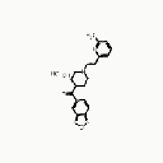 Cc1cccc(CCN2CCC(C(=O)c3ccc4nonc4c3)CC2)n1.Cl.Cl